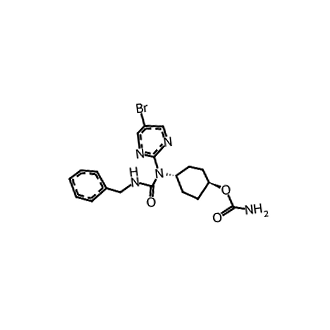 NC(=O)O[C@H]1CC[C@H](N(C(=O)NCc2ccccc2)c2ncc(Br)cn2)CC1